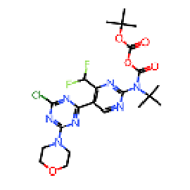 CC(C)(C)OC(=O)OC(=O)N(c1ncc(-c2nc(Cl)nc(N3CCOCC3)n2)c(C(F)F)n1)C(C)(C)C